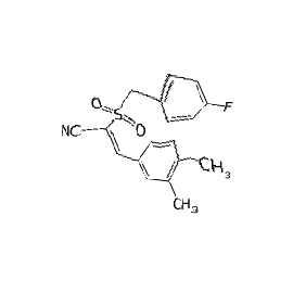 Cc1ccc(/C=C(/C#N)S(=O)(=O)Cc2ccc(F)cc2)cc1C